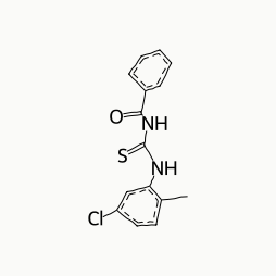 Cc1ccc(Cl)cc1NC(=S)NC(=O)c1ccccc1